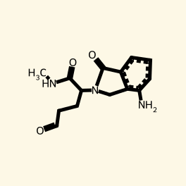 CNC(=O)C(CCC=O)N1Cc2c(N)cccc2C1=O